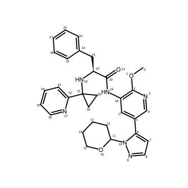 COc1ncc(-c2ccnn2C2CCCCO2)cc1NC(=O)[C@H](Cc1ccccc1)NC1(c2ccccn2)CC1